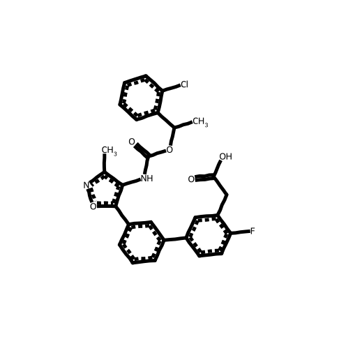 Cc1noc(-c2cccc(-c3ccc(F)c(CC(=O)O)c3)c2)c1NC(=O)OC(C)c1ccccc1Cl